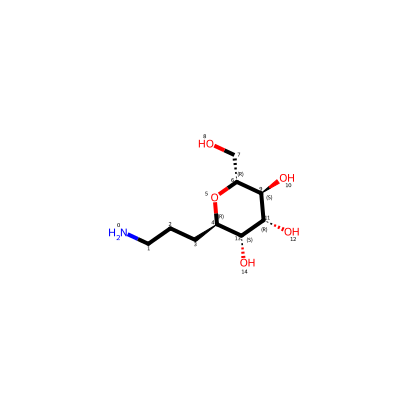 NCCC[C@H]1O[C@H](CO)[C@@H](O)[C@H](O)[C@@H]1O